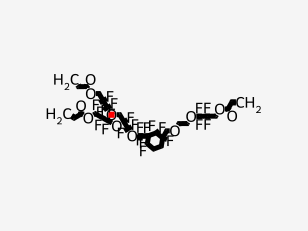 C=CC(=O)OCC(F)(F)C(F)(F)OCCOCC1(F)CCC(F)(F)C(F)(C(F)(F)OC(F)(F)C(F)(COC(F)(F)C(F)(F)COC(=O)C=C)OC(F)(F)C(F)(F)COC(=O)C=C)C1(F)F